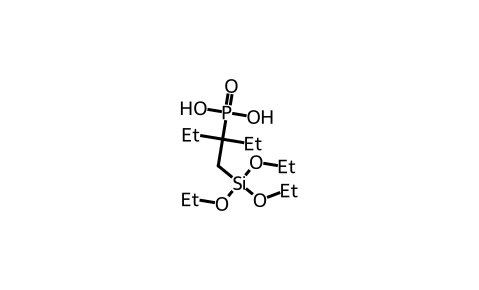 CCO[Si](CC(CC)(CC)P(=O)(O)O)(OCC)OCC